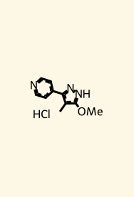 COc1[nH]nc(-c2ccncc2)c1C.Cl